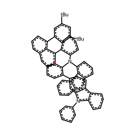 CC(C)(C)c1cc(-c2cccc3cccc(-c4ccccc4N(c4ccccc4-c4ccc5c6ccccc6n(-c6ccccc6)c5c4)c4cccc5sc6ccccc6c45)c23)cc(C(C)(C)C)c1